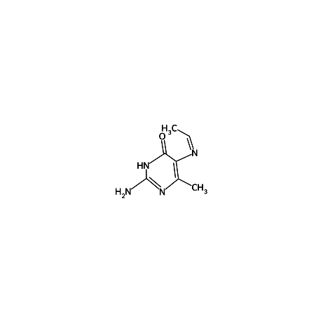 C/C=N\c1c(C)nc(N)[nH]c1=O